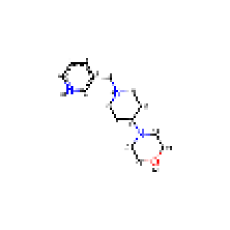 [c]1ccc(CN2CCC(N3CCOCC3)CC2)cn1